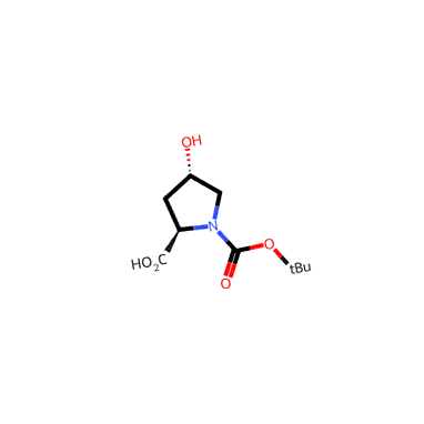 CC(C)(C)OC(=O)N1C[C@@H](O)C[C@@H]1C(=O)O